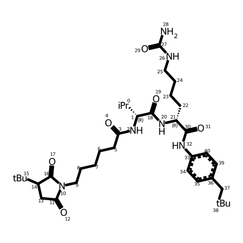 CC(C)[C@@H](NC(=O)CCCCCN1C(=O)CC(C(C)(C)C)C1=O)C(=O)N[C@H](CCCCNC(N)=O)C(=O)Nc1ccc(CC(C)(C)C)cc1